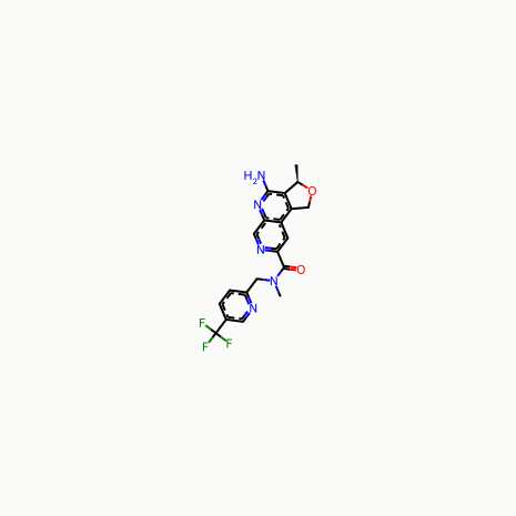 C[C@H]1OCc2c1c(N)nc1cnc(C(=O)N(C)Cc3ccc(C(F)(F)F)cn3)cc21